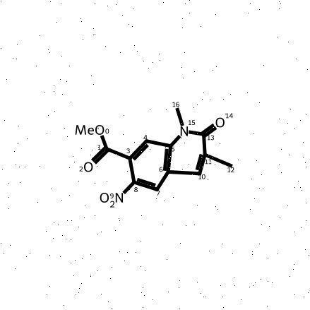 COC(=O)c1cc2c(cc1[N+](=O)[O-])cc(C)c(=O)n2C